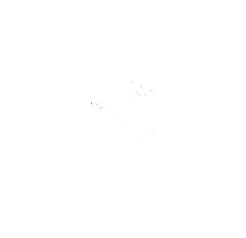 COC(=O)C(C(=O)O)=C(C)c1ccc(C)o1